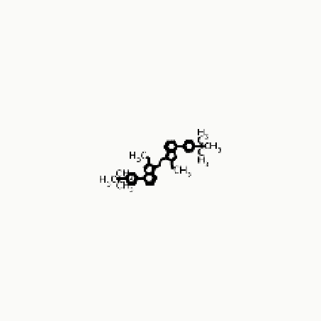 CCC1=Cc2c(-c3ccc(C(C)(C)C)cc3)cccc2C1CCC1C(CC)=Cc2c(-c3ccc(C(C)(C)C)cc3)cccc21